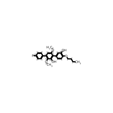 CCCCOc1ccc(-c2c(OC)cc(-c3ccc(F)cc3)c(OC)c2O)cc1O